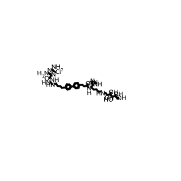 N=C(NCCCCc1ccc(-c2ccc(CCC(=O)NC(CCCCNCC(O)C(O)C(O)C(O)CO)c3nnn[nH]3)cc2)cc1)NC(=O)c1nc(Cl)c(N)nc1N